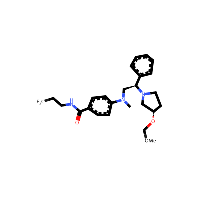 COCO[C@H]1CCN([C@@H](CN(C)c2ccc(C(=O)NCCC(F)(F)F)cc2)c2ccccc2)C1